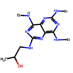 CCNc1nc(NCC)c2nc(NCC(C)O)nc(NCC)c2n1